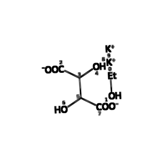 CCO.O=C([O-])C(O)C(O)C(=O)[O-].[K+].[K+]